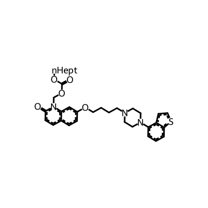 CCCCCCCOC(=O)OCn1c(=O)ccc2ccc(OCCCCN3CCN(c4cccc5sccc45)CC3)cc21